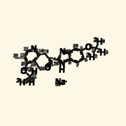 [2H]C([2H])([2H])Oc1ccc2[nH]c([S@@+]([O-])Cc3ncc(C)c(OC([2H])([2H])[2H])c3C)nc2c1.[Na]